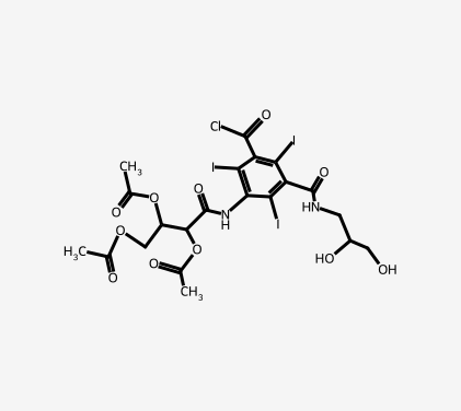 CC(=O)OCC(OC(C)=O)C(OC(C)=O)C(=O)Nc1c(I)c(C(=O)Cl)c(I)c(C(=O)NCC(O)CO)c1I